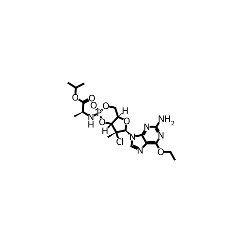 CCOc1nc(N)nc2c1ncn2[C@@H]1O[C@@H]2COP(=O)(N[C@@H](C)C(=O)OC(C)C)O[C@H]2[C@@]1(C)Cl